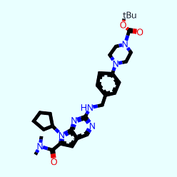 CN(C)C(=O)c1cc2cnc(NCc3ccc(N4CCN(C(=O)OC(C)(C)C)CC4)cc3)nc2n1C1CCCC1